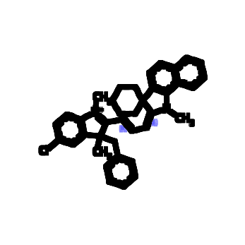 CN1/C(=C/C=C/C2=[N+](C)c3ccc(Cl)cc3C2(C)Cc2ccccc2)C2(CCCCC2)c2ccc3ccccc3c21